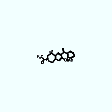 C=C(c1ccccc1)c1cc2c(cc1OC)CCN(C(=O)C(F)(F)F)C[C@H]2C